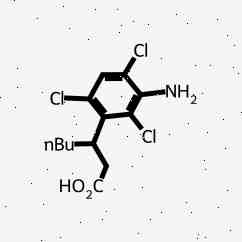 CCCCC(CC(=O)O)c1c(Cl)cc(Cl)c(N)c1Cl